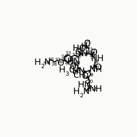 CC(C)[C@H]1NC(=O)C(CCCNC(=N)N)NC(=O)CNC(=O)[C@@H](CC(=O)O)NC(=O)C(Cc2ccc(OCCCN)cc2)NC1=O